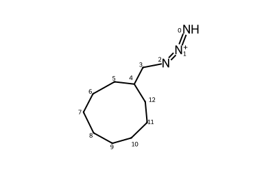 N=[N+]=NCC1CCCCCCCC1